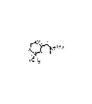 CN1CCOC(CNC(C)(C)C)C1